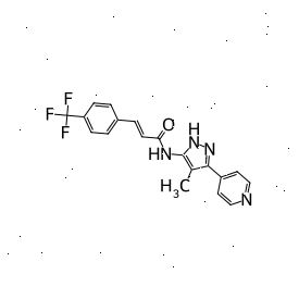 Cc1c(-c2ccncc2)n[nH]c1NC(=O)C=Cc1ccc(C(F)(F)F)cc1